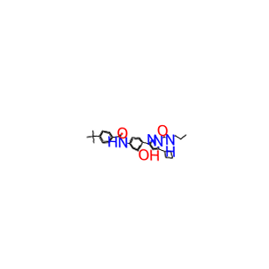 CCCNC(=O)n1nc(-c2ccc(NC(=O)c3ccc(C(C)(C)C)cc3)cc2O)cc1C1CCC1